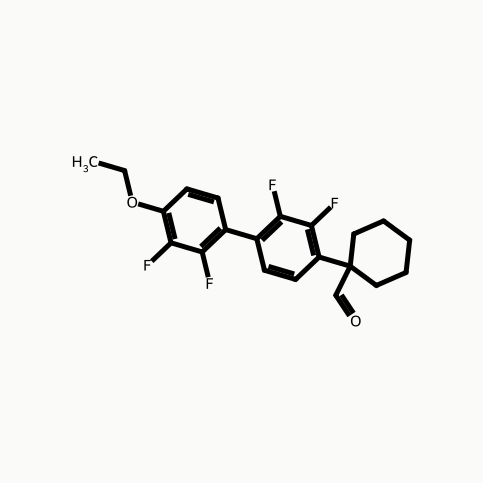 CCOc1ccc(-c2ccc(C3(C=O)CCCCC3)c(F)c2F)c(F)c1F